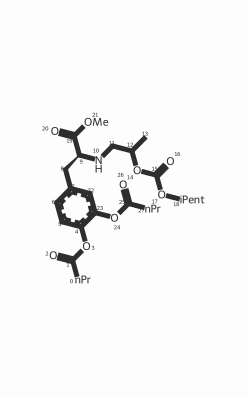 CCCC(=O)Oc1ccc(C[C@H](NCC(C)OC(=O)OC(C)CCC)C(=O)OC)cc1OC(=O)CCC